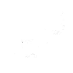 Cc1ncc2c(-c3ccccc3)cccc2n1